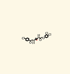 O=C(COc1ccc(Cl)c(Cl)c1)NC12CC(NCC(=O)c3ccc(Cl)cc3)(C1)C2